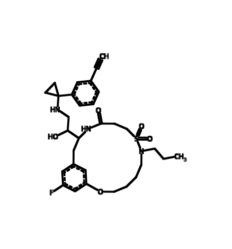 C#Cc1cccc(C2(NCC(O)C3Cc4cc(F)cc(c4)OCCCCN(CCC)S(=O)(=O)CCC(=O)N3)CC2)c1